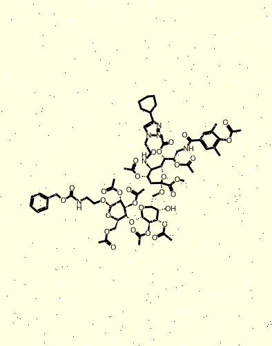 COC(=O)[C@@]1(OC[C@H]2O[C@@H](O[C@H]3[C@H](OC(C)=O)[C@@H](OC(C)=O)[C@H](OCCNC(=O)OCc4ccccc4)O[C@@H]3COC(C)=O)[C@H](OC(C)=O)[C@@H](OC(C)=O)[C@H]2O)C[C@H](OC(C)=O)[C@@H](NC(=O)Cn2cc(C3CCCCC3)nn2)[C@H]([C@H](OC(C)=O)[C@@H](CNC(=O)c2cc(C)c(OC(C)=O)c(C)c2)OC(C)=O)O1